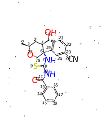 C[C@H]1C[C@@H](CO)[C@](NC(=S)NC(=O)c2ccccc2)(c2cccc(C#N)c2)CO1